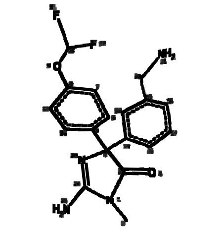 CN1C(=O)C(c2ccc(OC(F)F)cc2)(c2cccc(CN)c2)N=C1N